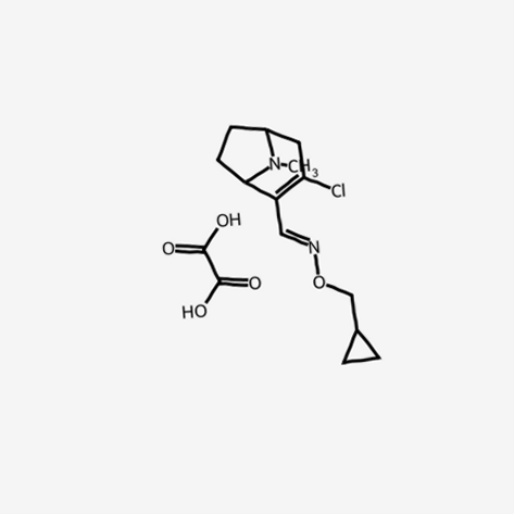 CN1C2CCC1C(/C=N/OCC1CC1)=C(Cl)C2.O=C(O)C(=O)O